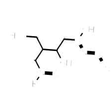 CCC(CS(F)=S)C(C)CS(C)=S=S=S